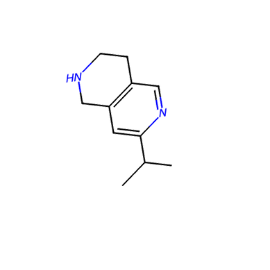 CC(C)c1cc2c(cn1)CCNC2